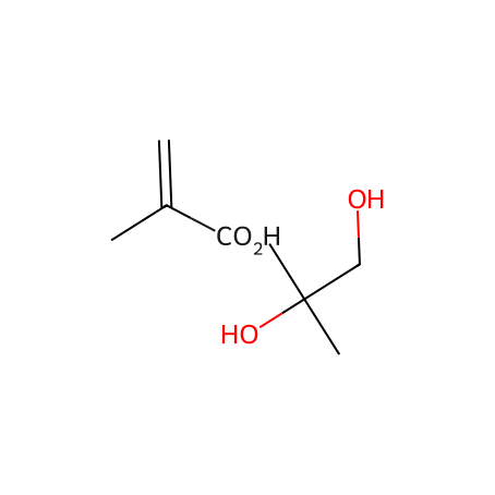 C=C(C)C(=O)O.CC(C)(O)CO